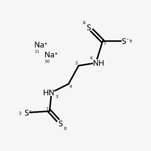 S=C([S-])NCCNC(=S)[S-].[Na+].[Na+]